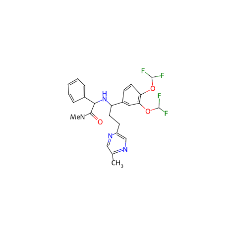 CNC(=O)C(NC(CCc1cnc(C)cn1)c1ccc(OC(F)F)c(OC(F)F)c1)c1ccccc1